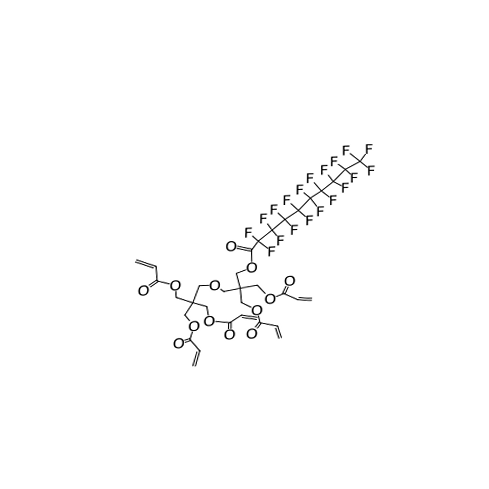 C=CC(=O)OCC(COCC(COC(=O)C=C)(COC(=O)C=C)COC(=O)C(F)(F)C(F)(F)C(F)(F)C(F)(F)C(F)(F)C(F)(F)C(F)(F)C(F)(F)C(F)(F)F)(COC(=O)C=C)COC(=O)C=C